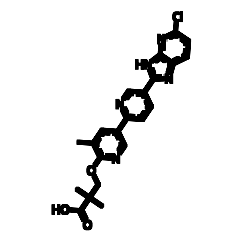 Cc1cc(-c2ccc(-c3nc4ccc(Cl)nc4[nH]3)cn2)cnc1OCC(C)(C)C(=O)O